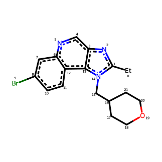 CCc1nc2cnc3cc(Br)ccc3c2n1CC1CCOCC1